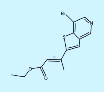 CCOC(=O)/C=C(\C)c1cc2cncc(Br)c2s1